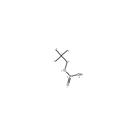 CC(C)(C)CO[P](=O)O